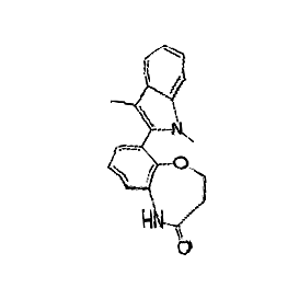 Cc1c(-c2cccc3c2OCCC(=O)N3)n(C)c2ccccc12